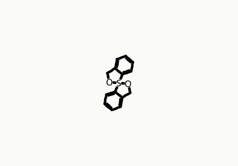 c1ccc2c(c1)COS21OCc2ccccc21